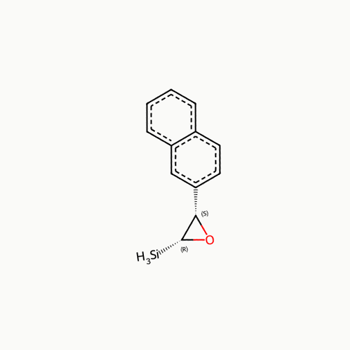 [SiH3][C@H]1O[C@H]1c1ccc2ccccc2c1